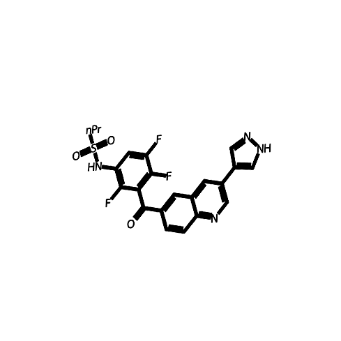 CCCS(=O)(=O)Nc1cc(F)c(F)c(C(=O)c2ccc3ncc(-c4cn[nH]c4)cc3c2)c1F